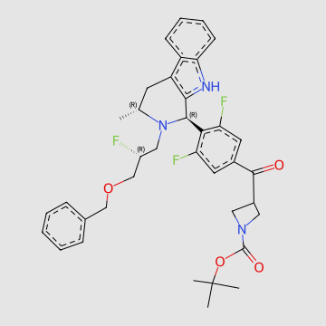 C[C@@H]1Cc2c([nH]c3ccccc23)[C@@H](c2c(F)cc(C(=O)C3CN(C(=O)OC(C)(C)C)C3)cc2F)N1C[C@@H](F)COCc1ccccc1